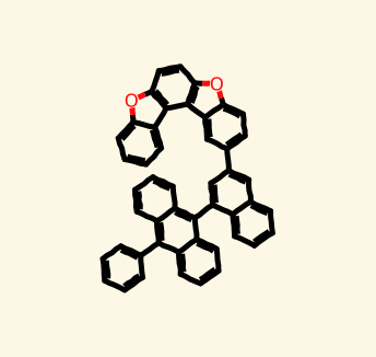 c1ccc(-c2c3ccccc3c(-c3cc(-c4ccc5oc6ccc7oc8ccccc8c7c6c5c4)cc4ccccc34)c3ccccc23)cc1